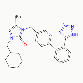 CCC(C)c1cn(CC2CCCCC2)c(=O)n1Cc1ccc(-c2ccccc2-c2nnn[nH]2)cc1